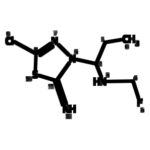 CCC(NCF)n1nc(Cl)sc1=N